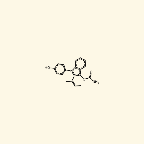 C/C=C(/C)c1c(OC(N)=O)c2ccccc2n1-c1ccc(O)cc1